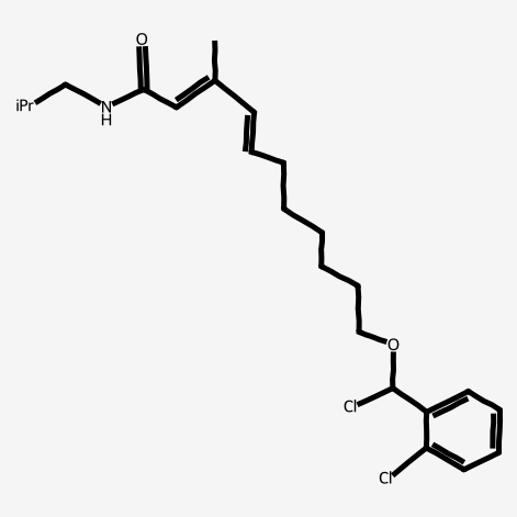 CC(C=CCCCCCCOC(Cl)c1ccccc1Cl)=CC(=O)NCC(C)C